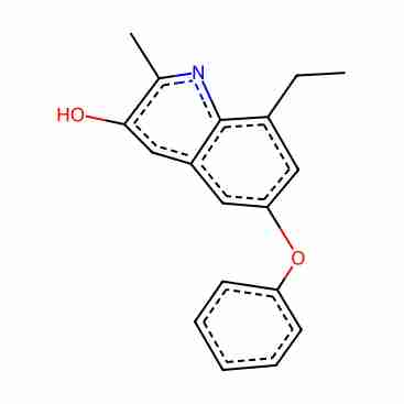 CCc1cc(Oc2ccccc2)cc2cc(O)c(C)nc12